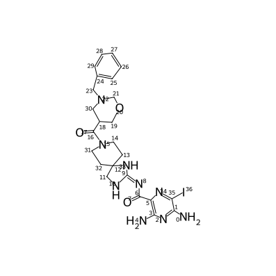 Nc1nc(N)c(C(=O)/N=C2\NCC3(CCN(C(=O)C4COCN(Cc5ccccc5)C4)CC3)N2)nc1I